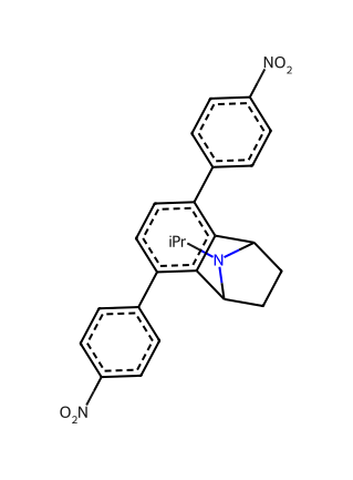 CC(C)N1C2CCC1c1c(-c3ccc([N+](=O)[O-])cc3)ccc(-c3ccc([N+](=O)[O-])cc3)c12